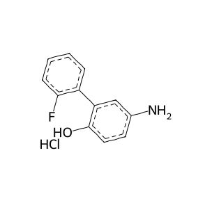 Cl.Nc1ccc(O)c(-c2ccccc2F)c1